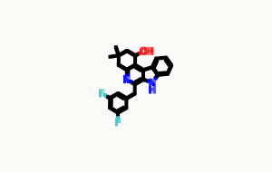 CC1(C)Cc2nc(Cc3cc(F)cc(F)c3)c3[nH]c4ccccc4c3c2C(O)C1